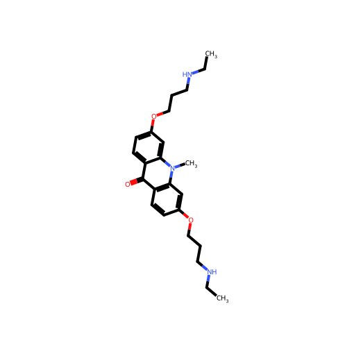 CCNCCCOc1ccc2c(=O)c3ccc(OCCCNCC)cc3n(C)c2c1